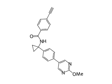 C#Cc1ccc(C(=O)NC2(c3ccc(-c4cnc(OC)nc4)cc3)CC2)cc1